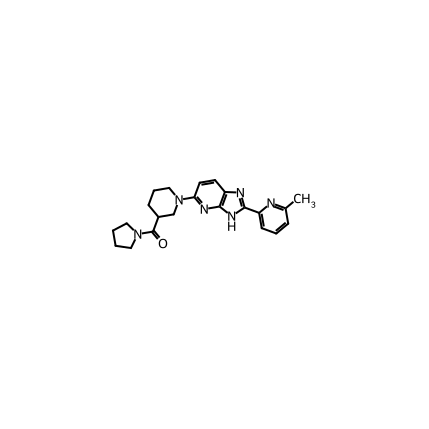 Cc1cccc(-c2nc3ccc(N4CCCC(C(=O)N5CCCC5)C4)nc3[nH]2)n1